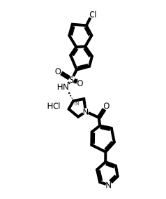 Cl.O=C(c1ccc(-c2ccncc2)cc1)N1CC[C@H](NS(=O)(=O)c2ccc3cc(Cl)ccc3c2)C1